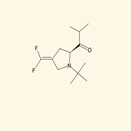 CC(C)C(=O)[C@@H]1CC(=C(F)F)CN1C(C)(C)C